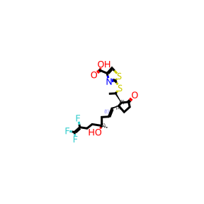 CC(Sc1nc(C(=O)O)cs1)[C@H]1C(=O)CC[C@H]1/C=C/C[C@@](C)(O)CCC(F)=C(F)F